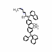 C/C=C\C=C\C(CC)N(C1=C2C=CC=CC2CC=C1)c1ccc(-c2ccc(N(C3=c4ccccc4=CCC3)c3ccccc3)cc2C)c(C)c1